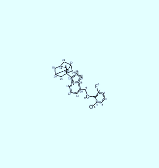 Fc1cccc(Cl)c1OCc1cccn2c(C34CC5CC(CC(C5)C3)C4)nnc12